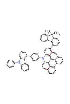 CC1(C)c2ccccc2-c2c(-c3ccc(N(c4ccc(-c5cccc6c5c5ccccc5n6-c5ccccc5)cc4)c4ccccc4-c4cccc5cccc(-c6ccccc6)c45)cc3)cccc21